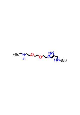 CC(C)(C)CNCCOCCOCCn1cc(CNC(C)(C)C)nn1